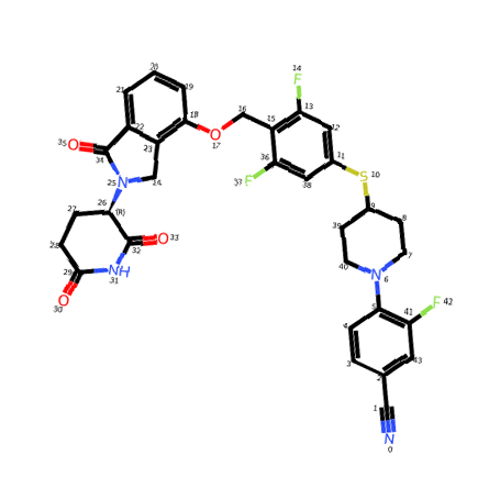 N#Cc1ccc(N2CCC(Sc3cc(F)c(COc4cccc5c4CN([C@@H]4CCC(=O)NC4=O)C5=O)c(F)c3)CC2)c(F)c1